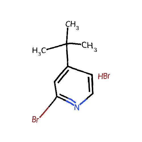 Br.CC(C)(C)c1ccnc(Br)c1